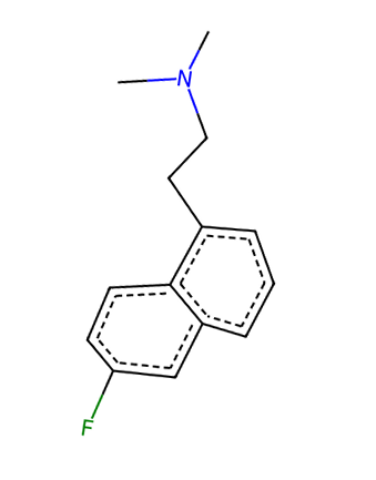 CN(C)CCc1cccc2cc(F)ccc12